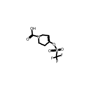 O=C(O)N1CC=C(OS(=O)(=O)C(F)(F)F)CC1